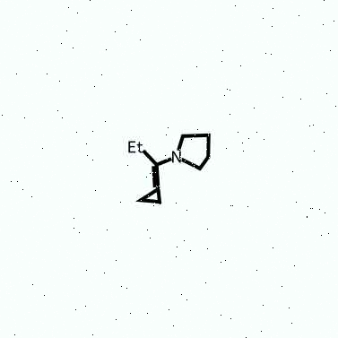 CCC(=C1CC1)N1CCCC1